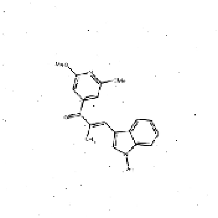 COc1cc(C(=O)/C(C)=C/c2cn(C(C)=O)c3ccccc23)cc(OC)n1